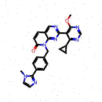 COc1ncnc(C2CC2)c1-c1ncc2ccc(=O)n(Cc3ccc(-c4nccn4C)cc3)c2n1